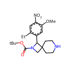 CCc1cc([N+](=O)[O-])c(OC)cc1C1N(C(=O)OC(C)(C)C)CC12CCNCC2